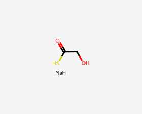 O=C(S)CO.[NaH]